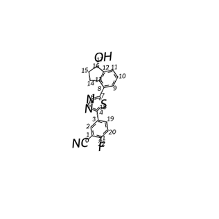 N#Cc1cc(-c2nnc(-c3cccc4c3CC[C@@H]4O)s2)ccc1F